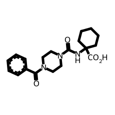 O=C(NC1(C(=O)O)CCCCC1)N1CCN(C(=O)c2ccccc2)CC1